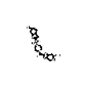 O=C(c1nc2c(s1)CNC(O)C2)N1CCN(S(=O)(=O)c2cc3ccc(Cl)cc3s2)CC1